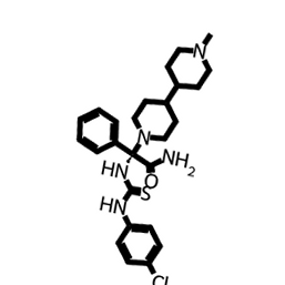 CN1CCC(C2CCN([C@@](NC(=S)Nc3ccc(Cl)cc3)(C(N)=O)c3ccccc3)CC2)CC1